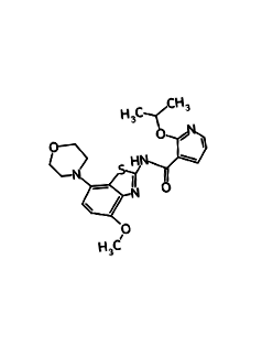 COc1ccc(N2CCOCC2)c2sc(NC(=O)c3cccnc3OC(C)C)nc12